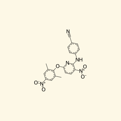 Cc1cc([N+](=O)[O-])cc(C)c1Oc1ccc([N+](=O)[O-])c(Nc2ccc(C#N)cc2)n1